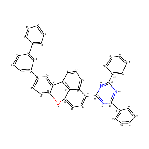 c1ccc(-c2cccc(-c3ccc4c(c3)-c3cccc5c(-c6nc(-c7ccccc7)nc(-c7ccccc7)n6)ccc(c35)O4)c2)cc1